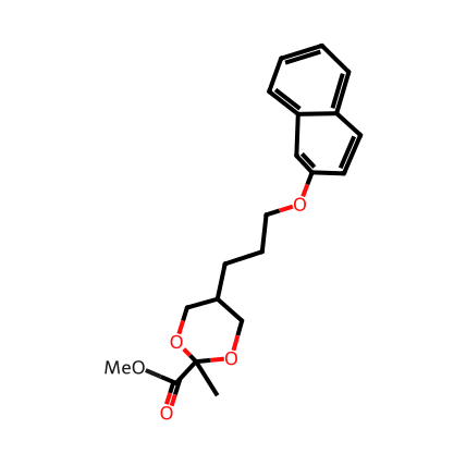 COC(=O)C1(C)OCC(CCCOc2ccc3ccccc3c2)CO1